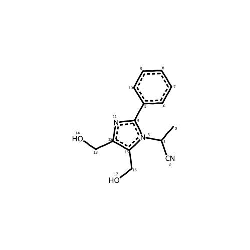 CC(C#N)n1c(-c2ccccc2)nc(CO)c1CO